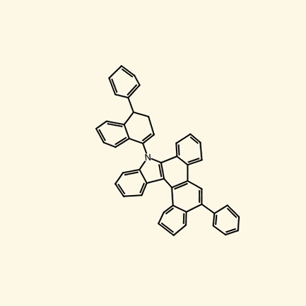 C1=C(n2c3ccccc3c3c4c5ccccc5c(-c5ccccc5)cc4c4ccccc4c32)c2ccccc2C(c2ccccc2)C1